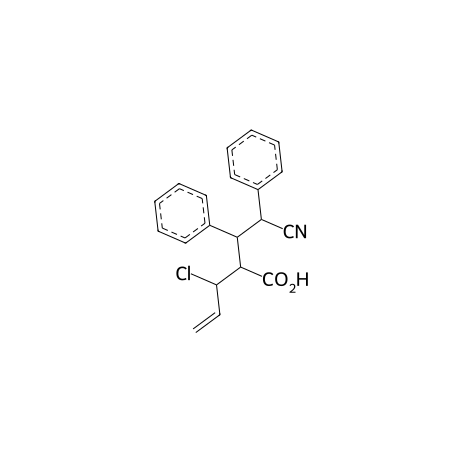 C=CC(Cl)C(C(=O)O)C(c1ccccc1)C(C#N)c1ccccc1